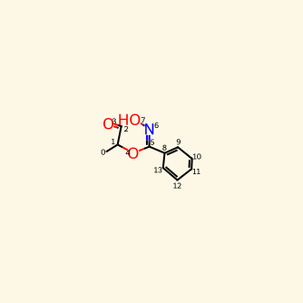 CC(C=O)OC(=NO)c1ccccc1